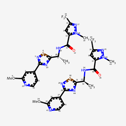 COc1cc(-c2nsc([C@@H](C)NC(=O)c3cc(C(F)(F)F)nn3C)n2)ccn1.COc1cc(-c2nsc([C@H](C)NC(=O)c3cc(C(F)(F)F)nn3C)n2)ccn1